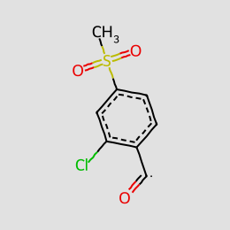 CS(=O)(=O)c1ccc([C]=O)c(Cl)c1